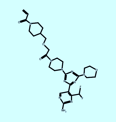 C=CC(=O)N1CCC(COCC(=O)N2CCN(c3nc(-c4cnc(N)nc4C(F)F)nc(N4CCOCC4)n3)CC2)CC1